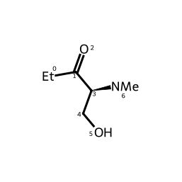 CCC(=O)[C@H](CO)NC